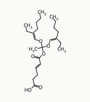 CCCCC(=COC(C)(OC=C(CC)CCCC)OC(=O)C=CCCC(=O)O)CC